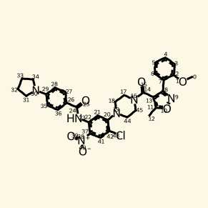 COc1ccccc1-c1noc(C)c1C(=O)N1CCN(c2cc(NC(=O)c3ccc(N4CCCC4)cc3)c([N+](=O)[O-])cc2Cl)CC1